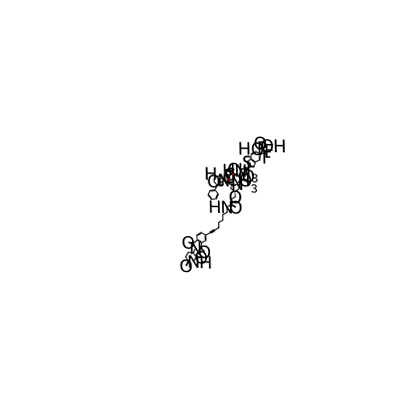 CC(C)(C)[C@H](NC(=O)c1cc2cc(C(F)(F)P(=O)(O)O)ccc2s1)C(=O)N1C[C@@H](OCC(=O)NCCCCCC#Cc2ccc3c(c2)C(=O)N(C2CCC(=O)NC2=O)C3=O)C[C@H]1C(=O)N1CCOC(c2ccccc2)C1